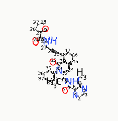 Cc1nccnc1C(=O)N[C@@H](C)c1cc2cccc(C#CCNC(=O)[C@H]3CCCO3)c2c(=O)n1-c1ccccc1